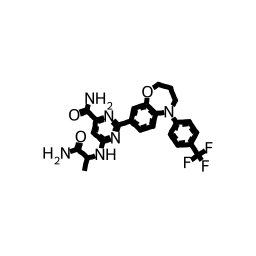 CC(Nc1cc(C(N)=O)nc(-c2ccc3c(c2)OCCCN3c2ccc(C(F)(F)F)cc2)n1)C(N)=O